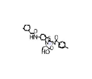 CCC(C(=O)O)n1/c(=N/C(=O)c2ccc(C)cc2)sc2ccc(NC(=O)Cc3ccccc3)cc21